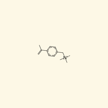 C=C(C)c1ccc(C[N+](C)(C)C)cc1